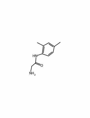 Cc1ccc(NC(=O)CN)c(C)c1